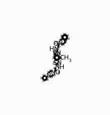 Cc1c2nc(NCC(=O)N3CCN(C4CCCC4)CC3)sc2cc2sc(NCC(=O)N3CCc4ccccc4C3)nc12